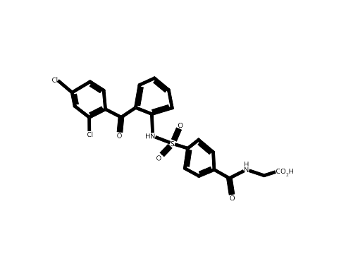 O=C(O)CNC(=O)c1ccc(S(=O)(=O)Nc2ccccc2C(=O)c2ccc(Cl)cc2Cl)cc1